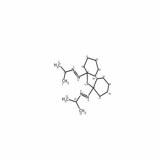 CC(C)/N=N/C1(SC2(/N=N/C(C)C)CCCCC2)CCCCC1